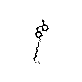 CCCCCCCCOc1ccc(/C=N\c2ccccc2C#N)cc1